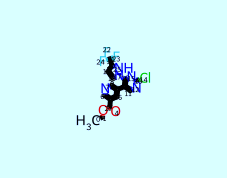 CCOC(=O)c1cncc(-c2cnc(Cl)nc2N2C=CC(C(F)(F)F)N2)c1